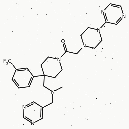 CN(Cc1cncnc1)CC1(c2cccc(C(F)(F)F)c2)CCN(C(=O)CN2CCN(c3cnccn3)CC2)CC1